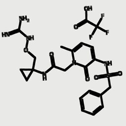 Cc1ccc(NS(=O)(=O)Cc2ccccc2)c(=O)n1CC(=O)NC1(CONC(=N)N)CC1.O=C(O)C(F)(F)F